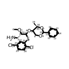 CO[C@@H](CN)C(OC1COC(c2ccccc2)O[C@@H]1C)Sc1cc(Cl)ccc1Cl